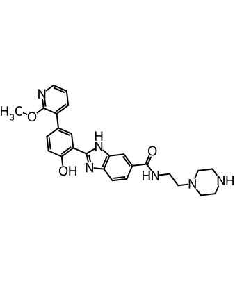 COc1ncccc1-c1ccc(O)c(-c2nc3ccc(C(=O)NCCN4CCNCC4)cc3[nH]2)c1